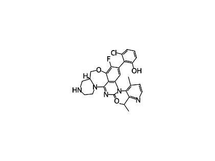 Cc1ccnc(C(C)C)c1-n1c(=O)nc2c3c(c(F)c(-c4c(O)cccc4Cl)cc31)OC[C@H]1CNCCN21